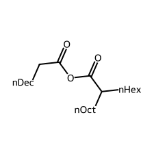 CCCCCCCCCCCC(=O)OC(=O)C(CCCCCC)CCCCCCCC